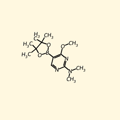 COc1nc(N(C)C)ncc1B1OC(C)(C)C(C)(C)O1